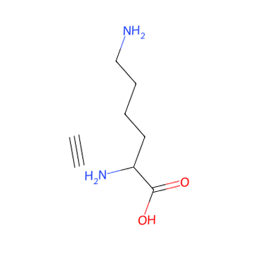 C#C.NCCCCC(N)C(=O)O